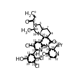 C=CC(=O)N1CC2CCc3c(c4cc(Cl)c(-c5cc(O)cc(Cl)c5Cl)nc4n(-c4c(C)ccnc4C(C)C)c3=O)N2CC1C